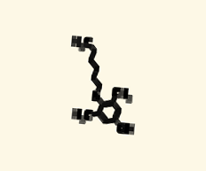 CCCCCCSc1c(C)cc(O)cc1C